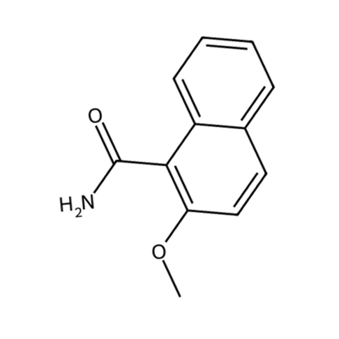 COc1ccc2ccccc2c1C(N)=O